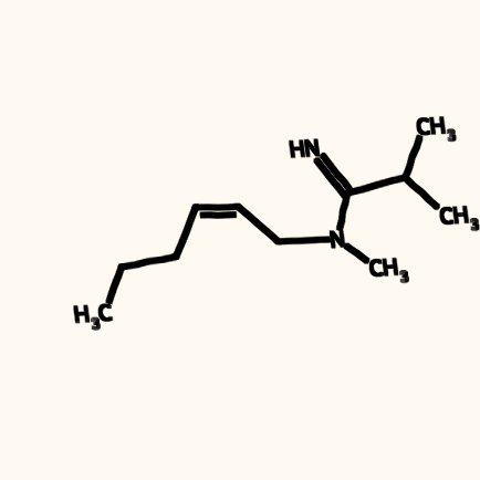 CCC/C=C\CN(C)C(=N)C(C)C